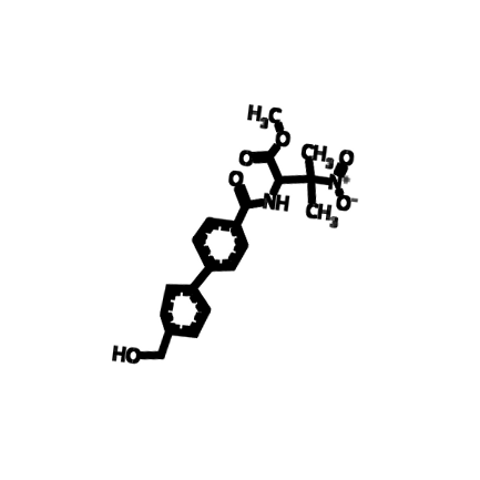 COC(=O)C(NC(=O)c1ccc(-c2ccc(CO)cc2)cc1)C(C)(C)[N+](=O)[O-]